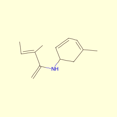 C=C(NC1C=CC=C(C)C1)/C(C)=C/C